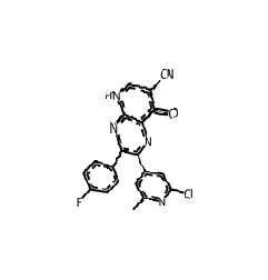 Cc1cc(-c2nc3c(=O)c(C#N)c[nH]c3nc2-c2ccc(F)cc2)cc(Cl)n1